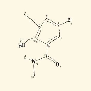 Cc1cc(Br)cc(C(=O)N(C)C)c1O